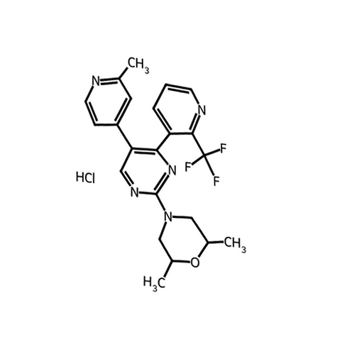 Cc1cc(-c2cnc(N3CC(C)OC(C)C3)nc2-c2cccnc2C(F)(F)F)ccn1.Cl